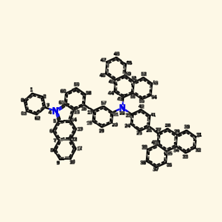 c1ccc(-n2c3cc4ccccc4cc3c3c(-c4cccc(N(c5ccc(-c6cc7ccccc7c7ccccc67)cc5)c5cc6ccccc6c6ccccc56)c4)cccc32)cc1